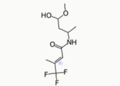 COC(O)CC(C)NC(=O)/C=C(\C)C(F)(F)F